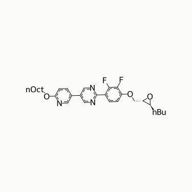 CCCCCCCCOc1ccc(-c2cnc(-c3ccc(OC[C@@H]4O[C@H]4CCCC)c(F)c3F)nc2)cn1